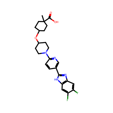 CC1(C(=O)O)CCC(OC2CCN(c3ccc(-c4nc5cc(F)c(F)cc5[nH]4)cn3)CC2)CC1